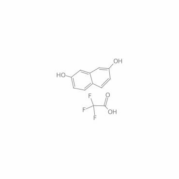 O=C(O)C(F)(F)F.Oc1ccc2ccc(O)cc2c1